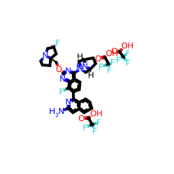 Nc1cc2ccccc2c(-c2ccc3c(N4C[C@H]5CC[C@@H](C4)N5)nc(OC[C@@]45CCCN4C[C@H](F)C5)nc3c2F)n1.O=C(O)C(F)(F)F.O=C(O)C(F)(F)F.O=C(O)C(F)(F)F